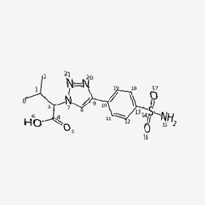 CC(C)C(C(=O)O)n1cc(-c2ccc(S(N)(=O)=O)cc2)nn1